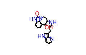 C[C@H](CCc1c[nH]c2cccnc12)N[C@@H]1CCn2c(=O)[nH]c3cccc(c32)[C@H]1O